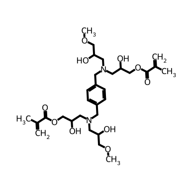 C=C(C)C(=O)OCC(O)CN(Cc1ccc(CN(CC(O)COC)CC(O)COC(=O)C(=C)C)cc1)CC(O)COC